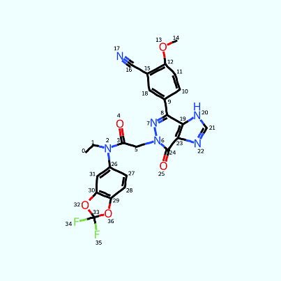 CCN(C(=O)Cn1nc(-c2ccc(OC)c(C#N)c2)c2[nH]cnc2c1=O)c1ccc2c(c1)OC(F)(F)O2